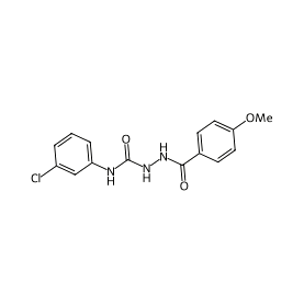 COc1ccc(C(=O)NNC(=O)Nc2cccc(Cl)c2)cc1